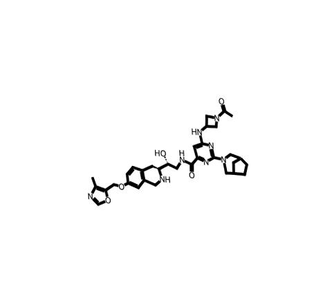 CC(=O)N1CC(Nc2cc(C(=O)NC[C@@H](O)[C@@H]3Cc4ccc(OCc5ocnc5C)cc4CN3)nc(N3CC4CCC(C4)C3)n2)C1